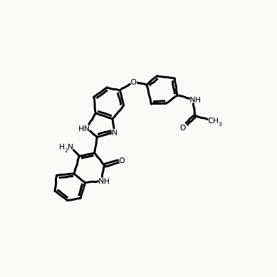 CC(=O)Nc1ccc(Oc2ccc3[nH]c(-c4c(N)c5ccccc5[nH]c4=O)nc3c2)cc1